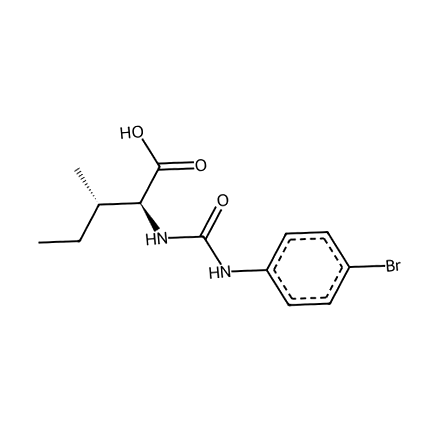 CC[C@H](C)[C@H](NC(=O)Nc1ccc(Br)cc1)C(=O)O